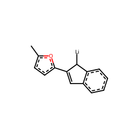 [Li][CH]1C(c2ccc(C)o2)=Cc2ccccc21